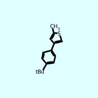 Cc1cc(-c2ccc(C(C)(C)C)cc2)cs1